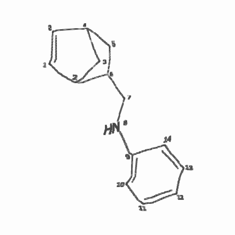 C1=CC2CC1CC2CNc1ccccc1